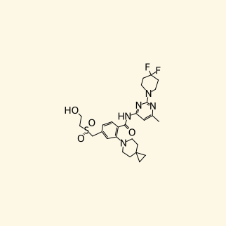 Cc1cc(NC(=O)c2ccc(CS(=O)(=O)CCO)cc2N2CCC3(CC2)CC3)nc(N2CCC(F)(F)CC2)n1